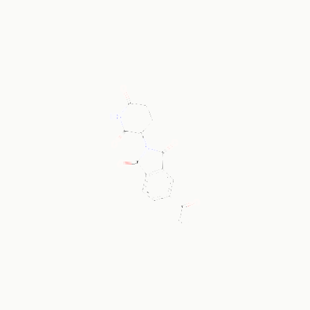 O=NC(=O)c1ccc2c(c1)C(=O)N(C1CCC(=O)NC1=O)C2=O